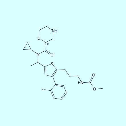 COC(=O)NCCCc1sc(C(C)N(C(=O)[C@H]2CNCCO2)C2CC2)cc1-c1ccccc1F